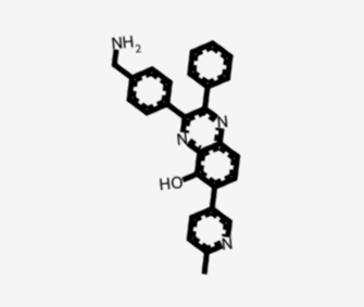 Cc1ccc(-c2ccc3nc(-c4ccccc4)c(-c4ccc(CN)cc4)nc3c2O)cn1